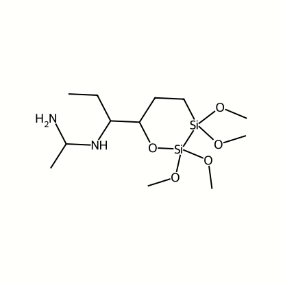 CCC(NC(C)N)C1CC[Si](OC)(OC)[Si](OC)(OC)O1